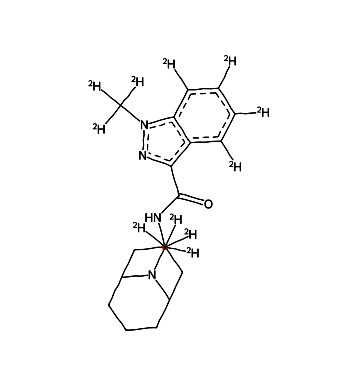 [2H]c1c([2H])c([2H])c2c(c(C(=O)NC3([2H])CC4CCCC(C3)N4C([2H])([2H])[2H])nn2C([2H])([2H])[2H])c1[2H]